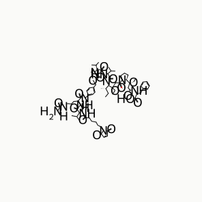 CC[C@H](C)C([C@@H](CC(=O)N1CCC[C@H]1[C@H](OC)[C@@H](C)C(=O)N[C@@H](Cc1ccccc1)C(=O)O)OC)N(C)C(=O)[C@@H](NC(=O)[C@H](C(C)C)N(C)C(=O)OCc1ccc(NC(=O)C(CCCNC(N)=O)NC(=O)[C@@H](NC(=O)CCCCCN2C(=O)C=CC2=O)C(C)C)cc1)C(C)C